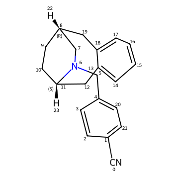 N#Cc1ccc(CN2C[C@@H]3CC[C@H]2Cc2ccccc2C3)cc1